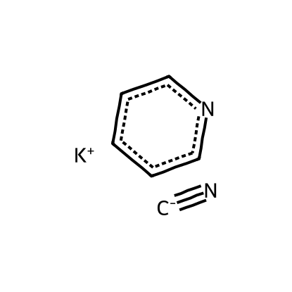 [C-]#N.[K+].c1ccncc1